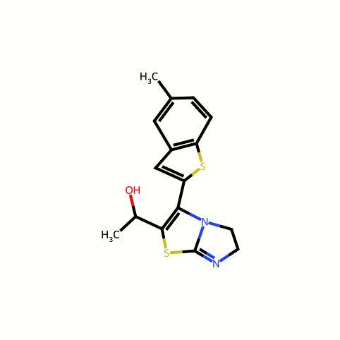 Cc1ccc2sc(C3=C(C(C)O)SC4=NCCN43)cc2c1